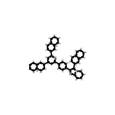 c1ccc2cc(-c3cc(-c4ccc(-c5nc6ccccn6c5-c5ccc6ccccc6c5)cc4)nc(-c4ccc5ccccc5c4)c3)ccc2c1